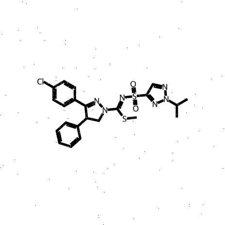 CS/C(=N\S(=O)(=O)c1cnn(C(C)C)n1)N1CC(c2ccccc2)C(c2ccc(Cl)cc2)=N1